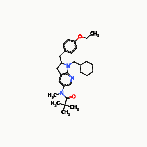 CCOc1ccc(CC2Cc3cc(N(C)C(=O)C(C)(C)C)cnc3N2CC2CCCCC2)cc1